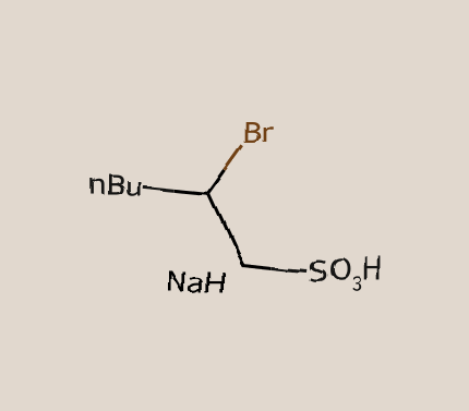 CCCCC(Br)CS(=O)(=O)O.[NaH]